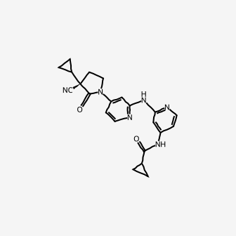 N#C[C@@]1(C2CC2)CCN(c2ccnc(Nc3cc(NC(=O)C4CC4)ccn3)c2)C1=O